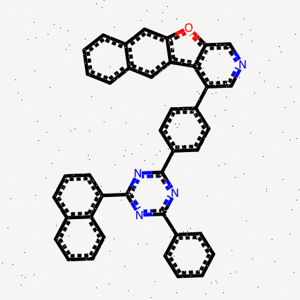 c1ccc(-c2nc(-c3ccc(-c4cncc5oc6cc7ccccc7cc6c45)cc3)nc(-c3cccc4ccccc34)n2)cc1